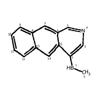 CBc1cncc2cc3ccccc3cc12